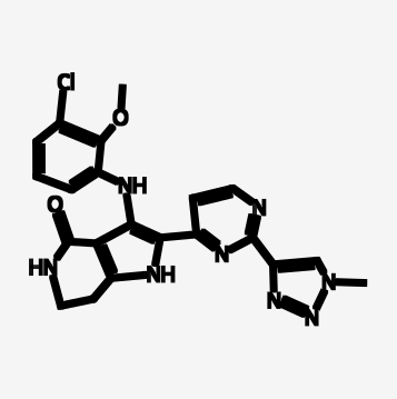 COc1c(Cl)cccc1Nc1c(-c2ccnc(-c3cn(C)nn3)n2)[nH]c2c1C(=O)NCC2